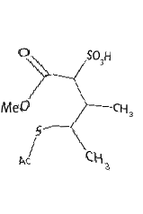 COC(=O)C(C(C)C(C)SC(C)=O)S(=O)(=O)O